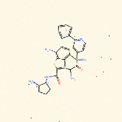 Nc1ccc2c3c(c(C(=O)N[C@H]4CCC[C@H]4N)sc13)C(N)C(=O)C2(N)c1ccnc(-c2ccccc2)c1